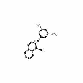 Nc1cc(N)cc(C(=O)O)c1.Nc1cccc2ccccc12